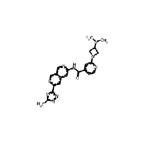 Cc1nnc(-c2cc3cc(NC(=O)c4ccnc(N5CC(N(C)C)C5)c4)ncc3cn2)s1